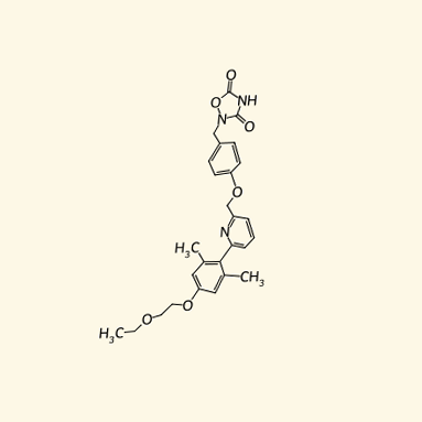 CCOCCOc1cc(C)c(-c2cccc(COc3ccc(Cn4oc(=O)[nH]c4=O)cc3)n2)c(C)c1